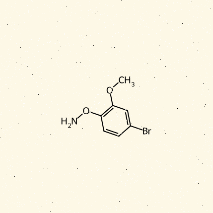 COc1cc(Br)ccc1ON